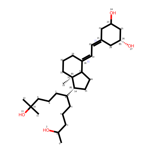 CC(O)CCCC(CCCC(C)(C)O)[C@H]1CCC2/C(=C/C=C3/CC(O)C[C@H](O)C3)CCC[C@@]21C